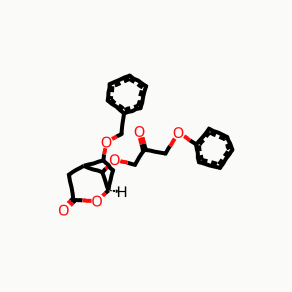 O=C(COc1ccccc1)COC1C2CC(=O)O[C@@H]1CC2OCc1ccccc1